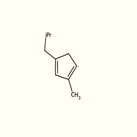 CC1=[C]CC(CC(C)C)=C1